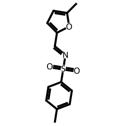 Cc1ccc(S(=O)(=O)/N=C/c2ccc(C)o2)cc1